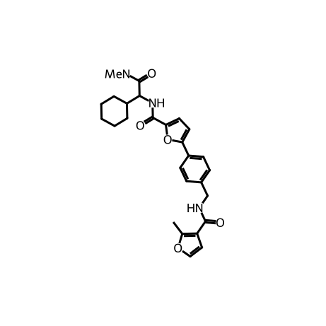 CNC(=O)C(NC(=O)c1ccc(-c2ccc(CNC(=O)c3ccoc3C)cc2)o1)C1CCCCC1